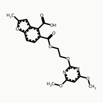 COc1cc(OC)nc(OCCOC(=O)c2ccc3oc(C)cc3c2C(=O)O)n1